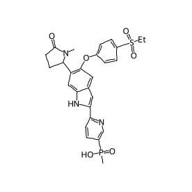 CCS(=O)(=O)c1ccc(Oc2cc3cc(-c4ccc(P(C)(=O)O)cn4)[nH]c3cc2C2CCC(=O)N2C)cc1